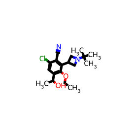 CCOc1c(C(C)O)cc(Cl)c(C#N)c1C1CN(C(C)(C)C)C1